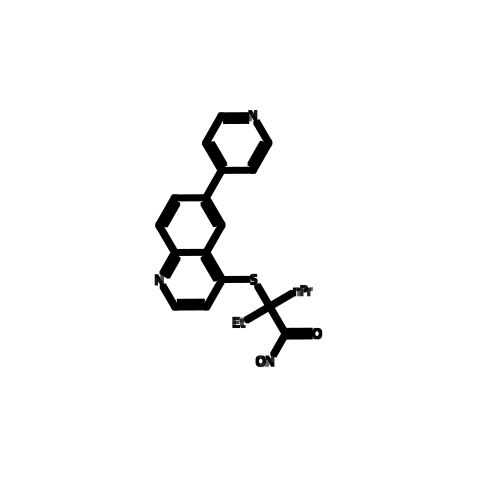 CCCC(CC)(Sc1ccnc2ccc(-c3ccncc3)cc12)C(=O)N=O